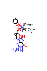 CCCC(C)N([C@@H](C)C(=O)O)[P@](=O)(OCC1(CO)C/C1=C/n1cnc2c(=O)[nH]c(N)nc21)Oc1ccccc1